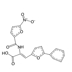 O=C(O)/C(=C/c1ccc(-c2ccccc2)o1)NC(=O)c1ccc([N+](=O)[O-])o1